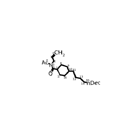 C=CCN(C(C)=O)C(=O)C1CCC(CCCCCCCCCCCCCC)CC1